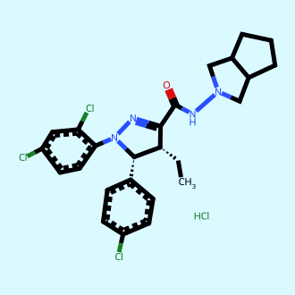 CC[C@H]1C(C(=O)NN2CC3CCCC3C2)=NN(c2ccc(Cl)cc2Cl)[C@H]1c1ccc(Cl)cc1.Cl